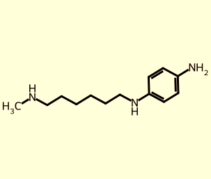 CNCCCCCCNc1ccc(N)cc1